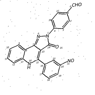 O=Cc1ccc(-n2nc3c4ccccc4[nH]c(-c4cccc(N=O)c4)c-3c2=O)cc1